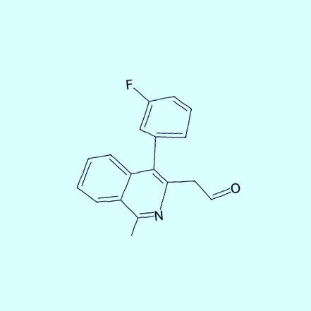 Cc1nc(CC=O)c(-c2cccc(F)c2)c2ccccc12